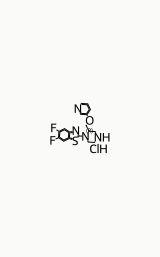 Cl.Fc1cc2nc(N3CCNC[C@@H]3COc3cccnc3)sc2cc1F